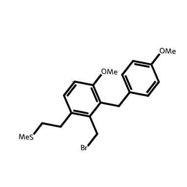 COc1ccc(Cc2c(OC)[c]cc(CCSC)c2CBr)cc1